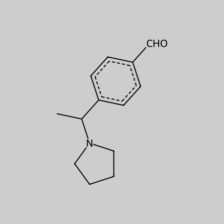 CC(c1ccc(C=O)cc1)N1CCCC1